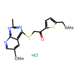 CNCc1ccc(C(=O)CSc2nc(C)nc3ncc(OC)cc23)s1.Cl